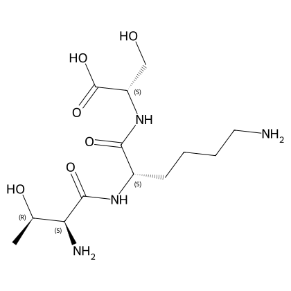 C[C@@H](O)[C@H](N)C(=O)N[C@@H](CCCCN)C(=O)N[C@@H](CO)C(=O)O